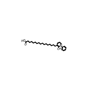 Cc1c(CCCCCCCCCCCCCCCCC(=O)O)ccc[n+]1-c1ccccc1